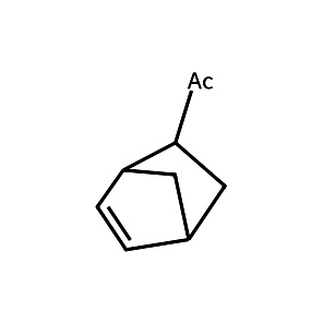 CC(=O)C1CC2C=CC1C2